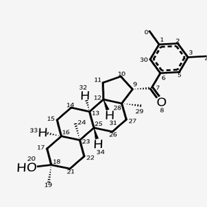 Cc1cc(C)cc(C(=O)[C@H]2CC[C@H]3[C@@H]4CC[C@@H]5C[C@](C)(O)CC[C@]5(C)[C@H]4CC[C@]23C)c1